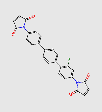 O=C1C=CC(=O)N1c1ccc(-c2ccc(-c3ccc(N4C(=O)C=CC4=O)cc3F)cc2)cc1